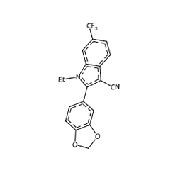 CCn1c(-c2ccc3c(c2)OCO3)c(C#N)c2ccc(C(F)(F)F)cc21